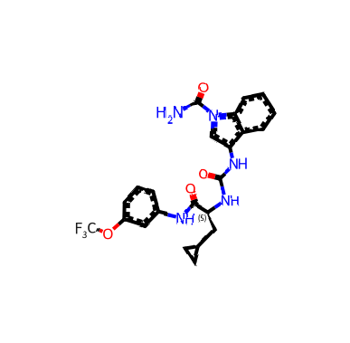 NC(=O)n1cc(NC(=O)N[C@@H](CC2CC2)C(=O)Nc2cccc(OC(F)(F)F)c2)c2ccccc21